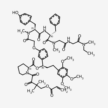 C=CC(=O)OCC(C)(C)C(=O)C(=O)N1CCCC[C@H]1C(=O)O[C@H](CCc1cc(OC)c(OC)cc1OC)c1cccc(OCC(=O)N(C)[C@@H](Cc2ccc(O)cc2)C(=O)N[C@H](Cc2ccccc2)C(=O)N(C)CC(=O)NCC(=O)N(C)CC)c1